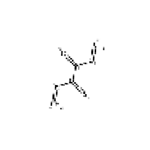 C=CC(=O)C(=S)C=C